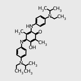 CCN(c1ccc(/N=C2/C(C)=C(Nc3ccc(N(CC)C(C)C)cc3)C(=O)C(C)=C2O)cc1)C(C)C